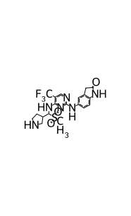 CS(=O)(=O)C(Nc1nc(Nc2ccc3c(c2)CC(=O)N3)ncc1C(F)(F)F)C1CCNC1